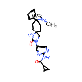 CN(C)[C@]1(c2ccccc2)CC[C@]2(CC1)CN(c1cnc(NC(=O)C3CC3)nc1)C(=O)N2